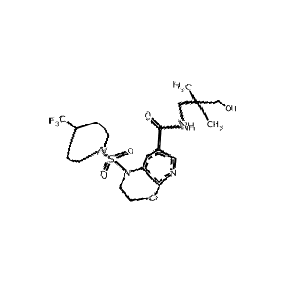 CC(C)(CO)CNC(=O)c1cnc2c(c1)N(S(=O)(=O)N1CCC(C(F)(F)F)CC1)CCO2